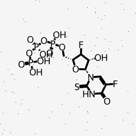 O=c1[nH]c(=S)n([C@@H]2O[C@H](COP(=O)(O)OP(=O)(O)OP(=O)(O)O)C(F)[C@@H]2O)cc1F